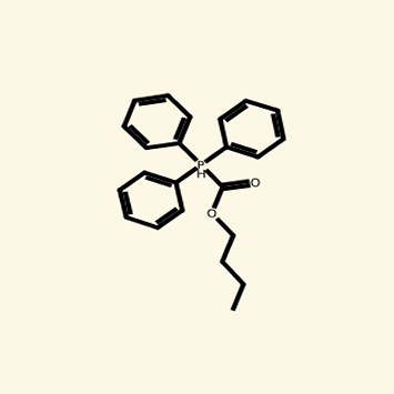 CCCCOC(=O)[PH](c1ccccc1)(c1ccccc1)c1ccccc1